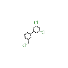 ClCc1cccc(-c2cc(Cl)cc(Cl)c2)c1